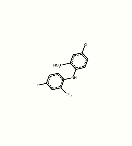 Cc1cc(F)ccc1Nc1ccc(Cl)cc1C(=O)O